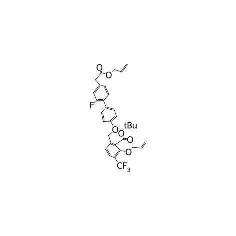 C=CCOC(=O)Cc1ccc(-c2ccc(OCc3ccc(C(F)(F)F)c(OCC=C)c3C(=O)OC(C)(C)C)cc2)c(F)c1